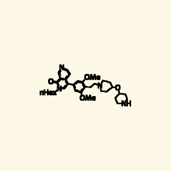 CCCCCCn1cc(-c2cc(OC)c(CCN3CCC(OC4CCNCC4)CC3)c(OC)c2)c2ccncc2c1=O